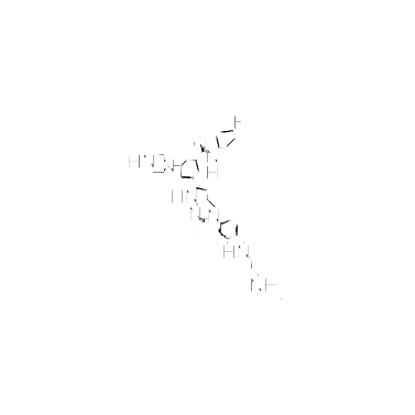 C=C1N=c2[nH]c(-c3cc(C(=O)Nc4ccc(F)cc4)cc(N4CCNCC4)c3)cc2=CN1c1ccc(CNCCCN)cc1